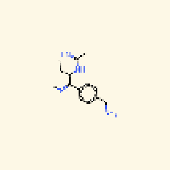 CCC(NC(C)=N)/C(=N\C)c1ccc(CN)cc1